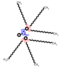 CCCCCCCCCCCCCCCCCCOc1cc(Nc2nc(Nc3cc(OCCCCCCCCCCCCCCCCCC)c(OCCCCCCCCCCCCCCCCCC)c(OCCCCCCCCCCCCCCCCCC)c3)nc(-c3cc[c]cc3)n2)cc(OCCCCCCCCCCCCCCCCCC)c1OCCCCCCCCCCCCCCCCCC